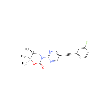 C[C@H]1CN(c2ncc(C#Cc3cccc(F)c3)cn2)C(=O)OC1(C)C